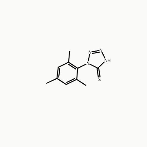 Cc1cc(C)c(-n2nn[nH]c2=S)c(C)c1